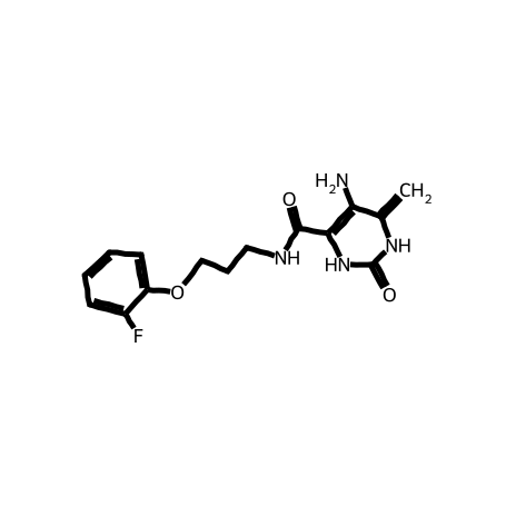 C=C1NC(=O)NC(C(=O)NCCCOc2ccccc2F)=C1N